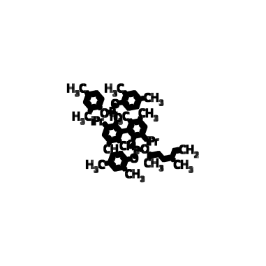 C=C/C(C)=C\C=C(/C)OP(Oc1ccc(C)cc1C)Oc1c(C(C)C)cc(C)c(C)c1-c1c(C)c(C)cc(C(C)C)c1OP(Oc1ccc(C)cc1C)Oc1ccc(C)cc1C